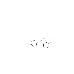 CCCn1nc(-c2ccc(O)cc2)c2cccc(C(F)(F)F)c21